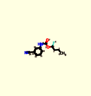 CCCC(F)OC(=O)Nc1cccc(C#N)c1